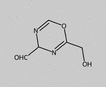 O=CC1N=COC(CO)=N1